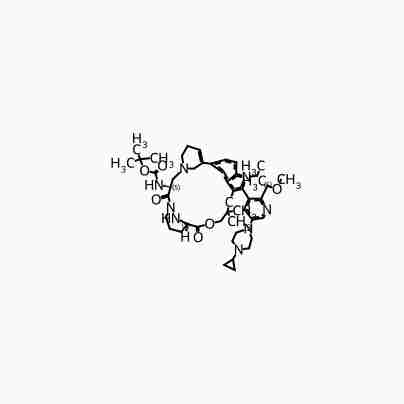 CCn1c(-c2cc(N3CCN(C4CC4)CC3)cnc2[C@H](C)OC)c2c3cc(ccc31)C1=CCCN(C1)C[C@H](NC(=O)OC(C)(C)C)C(=O)N1CCC[C@H](N1)C(=O)OCC(C)(C)C2